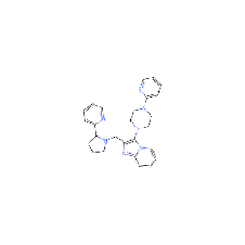 c1ccc(C2CCCN2Cc2nc3ccccn3c2N2CCN(c3ccccn3)CC2)nc1